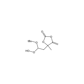 C=C1OC(=O)OC1(C)CC(OO)OC(C)(C)C